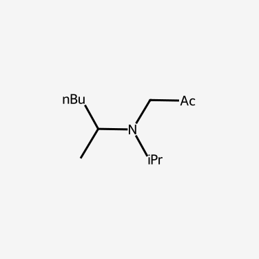 CCCCC(C)N(CC(C)=O)C(C)C